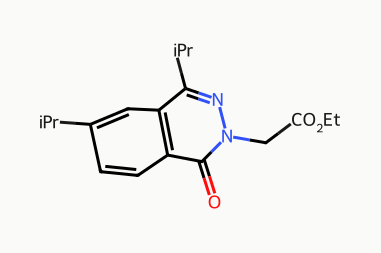 CCOC(=O)Cn1nc(C(C)C)c2cc(C(C)C)ccc2c1=O